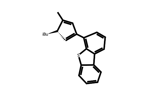 CC[C@H](C)[C@H]1C=C(c2cccc3c2sc2ccccc23)C=C1C